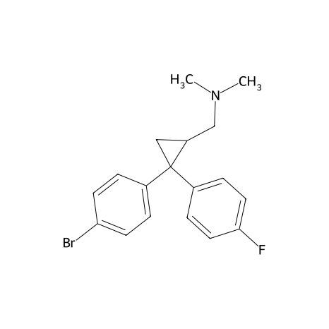 CN(C)CC1CC1(c1ccc(F)cc1)c1ccc(Br)cc1